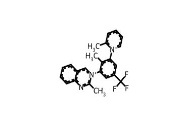 Cc1c(-[n+]2ccccc2C)cc(C(F)(F)F)cc1-[n+]1cc2ccccc2nc1C